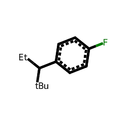 CCC(c1ccc(F)cc1)C(C)(C)C